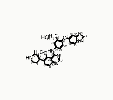 COc1c(C2=CCNCC2)ccc2ncnc(Nc3ccc(Oc4ccn5ncnc5c4)c(C)c3)c12.Cl